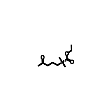 CCOC(=O)[N+](C)(C)CCCC(C)=O